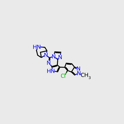 Cn1cc2c(Cl)c(-c3c[nH]c4nc(N5C6CCNCC5C6)n5ccnc5c34)ccc2n1